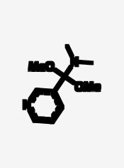 COC(OC)(c1cccnc1)N(C)C